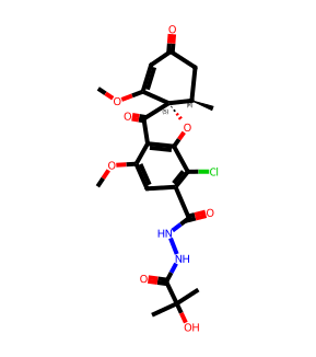 COC1=CC(=O)C[C@@H](C)[C@]12Oc1c(Cl)c(C(=O)NNC(=O)C(C)(C)O)cc(OC)c1C2=O